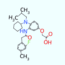 Cc1ccc(CC(=O)Nc2cc(OCC(=O)O)ccc2N(CC(C)C)C2CCCCC2)c(F)c1